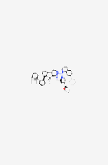 CC1(C)c2cc(N(c3ccc(C4CC5CCC4C5)cc3)c3cccc4ccc(C5CCCCC5)cc34)ccc2-c2cccc(-c3ccccc3-c3ccccc3)c21